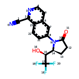 N#Cc1nccc2cc(N3C(=O)CC[C@H]3[C@H](O)C(F)(F)F)ccc12